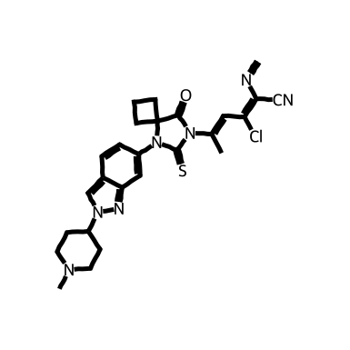 C=N/C(C#N)=C(Cl)\C=C(/C)N1C(=O)C2(CCC2)N(c2ccc3cn(C4CCN(C)CC4)nc3c2)C1=S